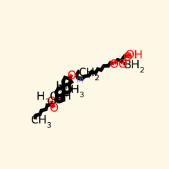 BOC(COO)COCCCCCCCCC/C=C\C(C=C)OC1C=C2CC[C@H]3[C@@H]4CC[C@H](OC(=O)CCCCCC)[C@@]4(C)CC[C@@H]3[C@@]2(C)CC1